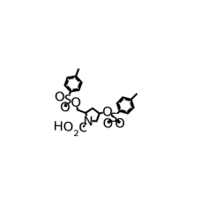 Cc1ccc(S(=O)(=O)OCC2CC(OS(=O)(=O)c3ccc(C)cc3)CN2C(=O)O)cc1